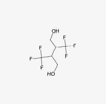 OCC(C(CO)C(F)(F)F)C(F)(F)F